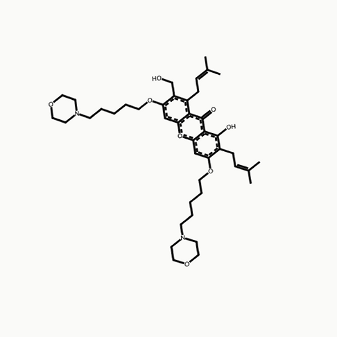 CC(C)=CCc1c(OCCCCCN2CCOCC2)cc2oc3cc(OCCCCCN4CCOCC4)c(CO)c(CC=C(C)C)c3c(=O)c2c1O